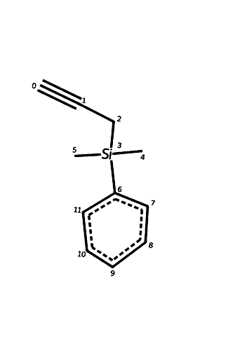 C#CC[Si](C)(C)c1ccccc1